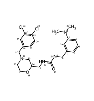 CN(C)c1cccc(CNC(=O)NCC2CN(Cc3ccc(Cl)c(Cl)c3)CCO2)c1